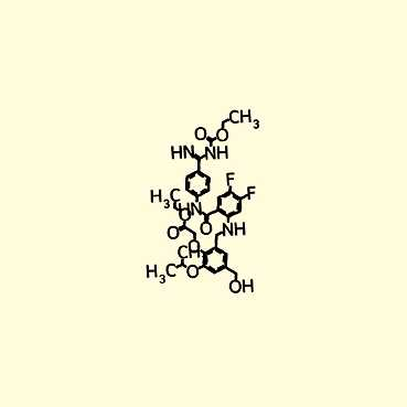 CCOC(=O)COc1c(CNc2cc(F)c(F)cc2C(=O)Nc2ccc(C(=N)NC(=O)OCC)cc2)cc(CO)cc1OC(C)C